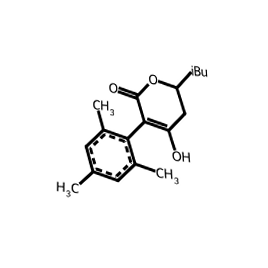 CCC(C)C1CC(O)=C(c2c(C)cc(C)cc2C)C(=O)O1